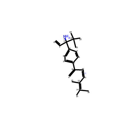 C=CC(N)(c1ccc(C(=C)/C=C\C(C)=C(C)C)cc1)C(C)(C)C